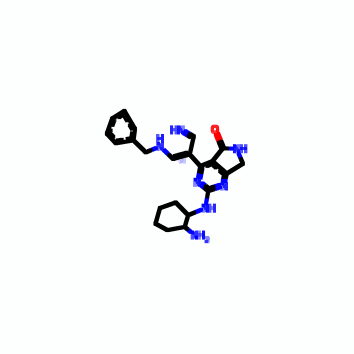 N=C/C(=C\NCc1ccccc1)c1nc(NC2CCCCC2N)nc2c1C(=O)NC2